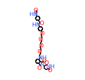 O=CNc1ccc(C(=O)Nc2ccc(OCCOCCOCCOCCNc3cccc4c3C(=O)N(C3CCC(=O)NC3=O)C4=O)cc2)cc1